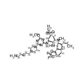 C=N/C(=C(Cl)\C=C/C)[C@@H](Nc1ccc(S(C)(=O)=O)cc1Nc1nc(OC)nc(N2CCN(CCOCCN)CC2)n1)c1cccc2c1OC(F)(F)O2